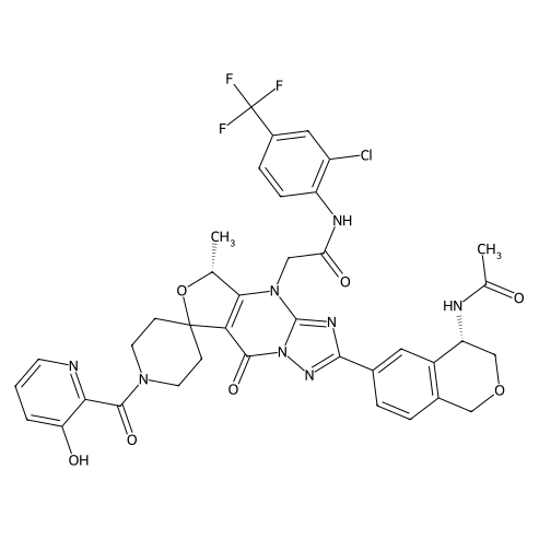 CC(=O)N[C@@H]1COCc2ccc(-c3nc4n(CC(=O)Nc5ccc(C(F)(F)F)cc5Cl)c5c(c(=O)n4n3)C3(CCN(C(=O)c4ncccc4O)CC3)O[C@@H]5C)cc21